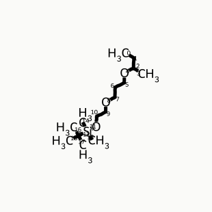 CCC(C)OCCCOCCO[Si](C)(C)C(C)(C)C